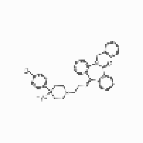 CC1(c2ccc(Cl)cc2)CCN(CCC=C2c3ccccc3C(=O)N(Cc3ccccc3)c3ccccc32)CC1